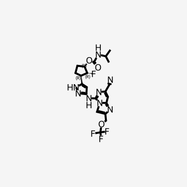 CC(C)NC(=O)O[C@@H]1CC[C@H](c2cc(Nc3nc(C#N)cc4nc(COC(F)(F)F)cn34)n[nH]2)[C@H]1F